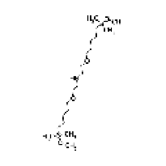 CO[Si](C)(C)CCCCCOCCNCCOCCCCC[Si](C)(C)OC